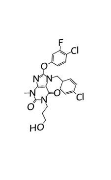 Cn1c(=O)n(CCCO)c(=O)c2c1nc(Oc1ccc(Cl)c(F)c1)n2CC1C=CC(Cl)=CC1